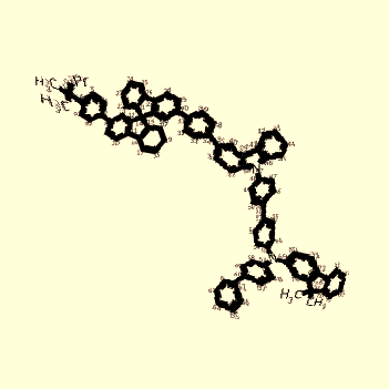 CC(C)C(C)(C)c1ccc(-c2ccc3c(c2)C2(C4=C3C=CCC4)c3ccccc3-c3ccc(-c4ccc(-c5ccc6c(c5)c5ccccc5n6-c5ccc(-c6ccc(N(c7ccc(-c8ccccc8)cc7)c7ccc8c(c7)C(C)(C)c7ccccc7-8)cc6)cc5)cc4)cc32)cc1